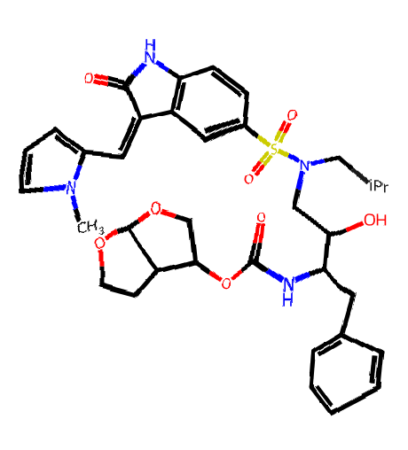 CC(C)CN(CC(O)C(Cc1ccccc1)NC(=O)OC1COC2OCCC12)S(=O)(=O)c1ccc2c(c1)/C(=C/c1cccn1C)C(=O)N2